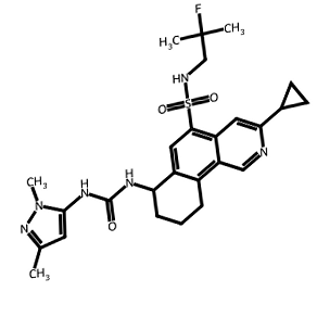 Cc1cc(NC(=O)NC2CCCc3c2cc(S(=O)(=O)NCC(C)(C)F)c2cc(C4CC4)ncc32)n(C)n1